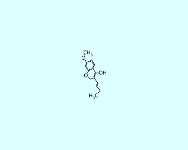 CCC=CC1=C(O)c2ccc(OC)cc2OC1